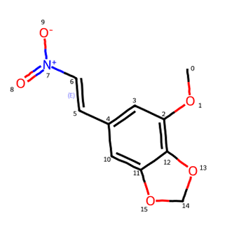 COc1cc(/C=C/[N+](=O)[O-])cc2c1OCO2